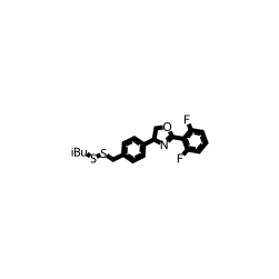 CCC(C)SSCc1ccc(C2COC(c3c(F)cccc3F)=N2)cc1